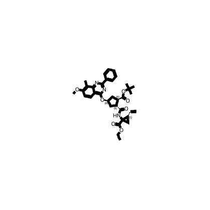 C=C[C@@H]1CC1(NC(=O)[C@@H]1C[C@@H](Oc2nc(-c3ccccc3)nc3c(C)c(OC)ccc23)C[C@H]1C(=O)OC(C)(C)C)C(=O)OCC